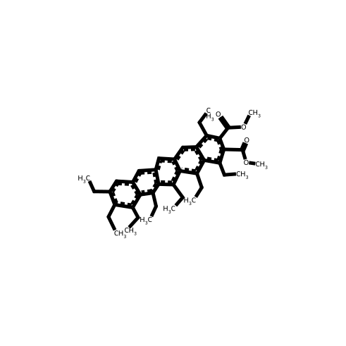 CCc1cc2cc3cc4cc5c(CC)c(C(=O)OC)c(C(=O)OC)c(CC)c5c(CC)c4c(CC)c3c(CC)c2c(CC)c1CC